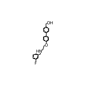 OCc1ccc(-c2ccc(OCCNCc3cccc(F)c3)cc2)cc1